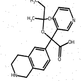 CCC(C)(C)OC(C(=O)O)(c1cccnc1)c1ccc2c(c1)CCNC2